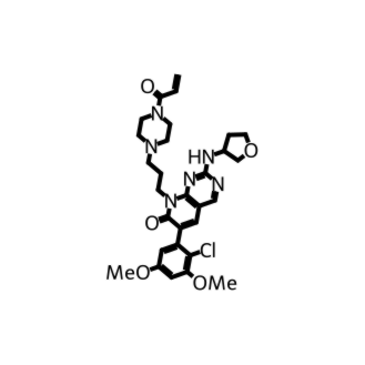 C=CC(=O)N1CCN(CCCn2c(=O)c(-c3cc(OC)cc(OC)c3Cl)cc3cnc(NC4CCOC4)nc32)CC1